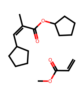 C=CC(=O)OC.CC(=CC1CCCC1)C(=O)OC1CCCC1